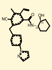 C=Cc1c(C(=O)N[C@H]2CCCC[C@@H]2O)cc(Cc2ccc(-n3cccn3)cc2)c(C#N)c1C